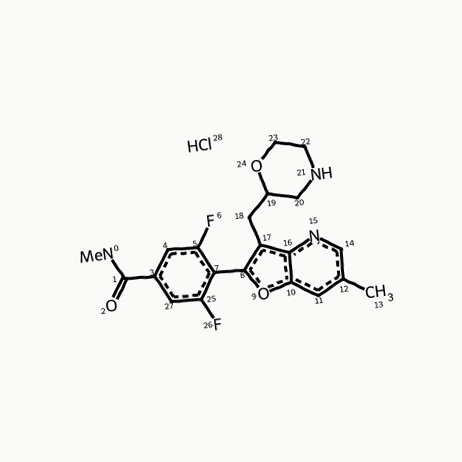 CNC(=O)c1cc(F)c(-c2oc3cc(C)cnc3c2CC2CNCCO2)c(F)c1.Cl